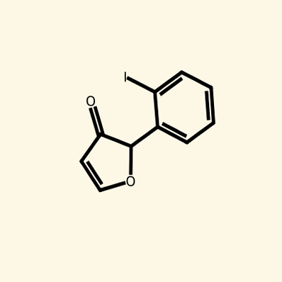 O=C1C=COC1c1ccccc1I